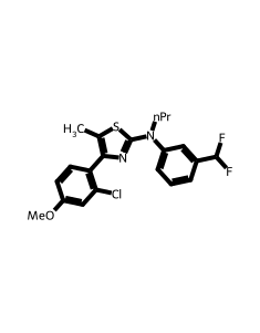 CCCN(c1cccc(C(F)F)c1)c1nc(-c2ccc(OC)cc2Cl)c(C)s1